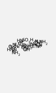 Nc1nc2c(ncn2C[C@@H]2OC(NS(=O)(=O)O)C[C@H]2OP(=O)(O)O/C=C2\CC[C@H](n3cnc4c(N)ncnc43)O2)c(=O)[nH]1